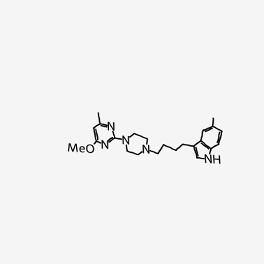 COc1cc(C)nc(N2CCN(CCCCc3c[nH]c4ccc(C)cc34)CC2)n1